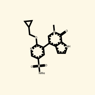 CNS(=O)(=O)c1cnc(OCC2CC2)c(-c2cn(C)c(=O)c3[nH]ccc23)c1